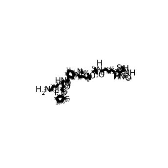 CC(C)(COC(C)(C)Cc1cn(-c2cccc(C(=O)N[C@@H](CCCCN)C(=O)COc3c(F)cccc3F)c2)nn1)NC(=O)CCCC[C@@H]1SC[C@@H]2NC(=O)N[C@@H]21